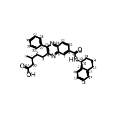 CC(CCc1nc2cc(C(=O)N[C@H]3CCCc4ccccc43)ccc2nc1-c1ccccc1)CC(=O)O